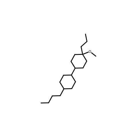 CCCCC1CCC(C2CCC(CCC)(OC)CC2)CC1